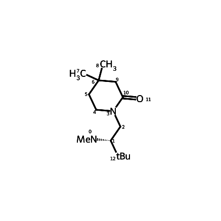 CN[C@H](CN1CCC(C)(C)CC1=O)C(C)(C)C